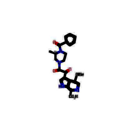 COc1cnc(C(=O)O)c2[nH]cc(C(=O)C(=O)N3CCN(C(=O)c4ccccc4)[C@H](C)C3)c12